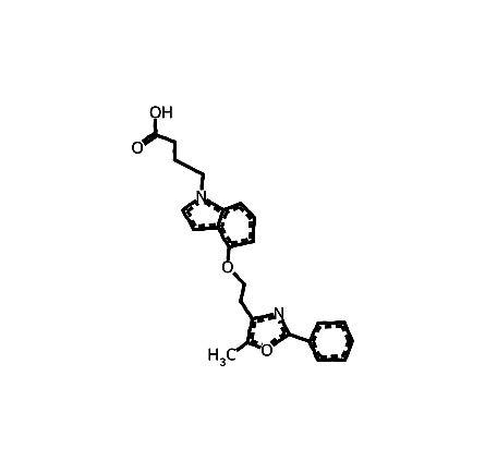 Cc1oc(-c2ccccc2)nc1CCOc1cccc2c1ccn2CCCC(=O)O